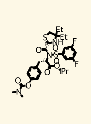 CCC1(CC)CS[C@@H](C(=O)N([C@@H](Cc2ccc(OC(=O)N(C)C)cc2)C(=O)OC(C)C)S(=O)(=O)c2cc(F)cc(F)c2)N1